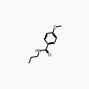 [CH2]CCNC(=O)c1ccc(OC)cc1